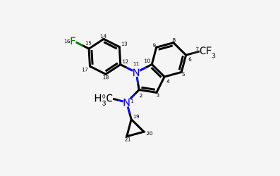 CN(c1cc2cc(C(F)(F)F)ccc2n1-c1ccc(F)cc1)C1CC1